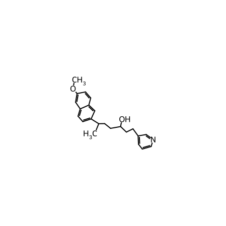 COc1ccc2cc(C(C)CCC(O)CCc3cccnc3)ccc2c1